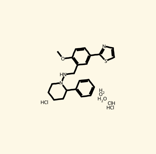 COc1ccc(-c2nccs2)cc1CNN1CCCCC1c1ccccc1.Cl.Cl.Cl.O.O